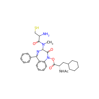 CC(=O)N[C@@H](CC1CCCCC1)C(=O)ON1C(=O)C(N(C)C(=O)C(N)CS)N=C(c2ccccc2)c2ccccc21